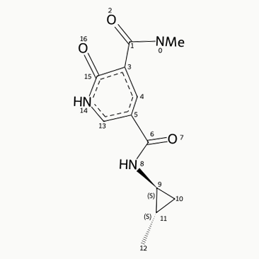 CNC(=O)c1cc(C(=O)N[C@H]2C[C@@H]2C)c[nH]c1=O